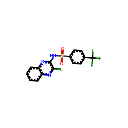 O=S(=O)(Nc1nc2ccccc2nc1Cl)c1ccc(C(F)(F)F)cc1